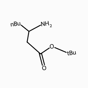 CCCCC(N)CC(=O)OC(C)(C)C